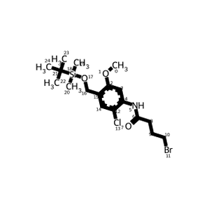 COc1cc(NC(=O)CCCBr)c(Cl)cc1CO[Si](C)(C)C(C)(C)C